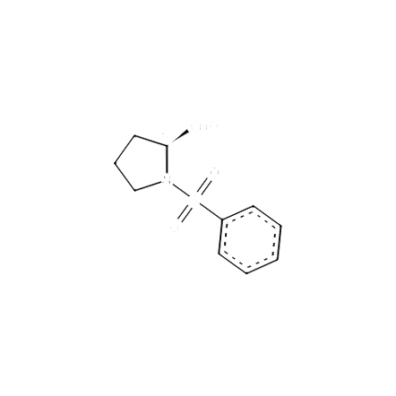 O=[C][C@@H]1CCCN1S(=O)(=O)c1ccccc1